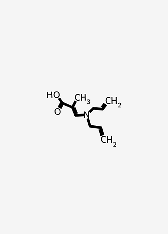 C=CCN(/C=C(\C)C(=O)O)CC=C